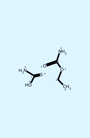 CCOC(N)=O.NC(O)=S